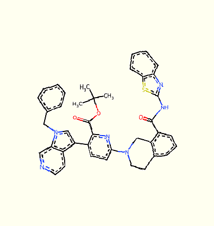 CC(C)(C)OC(=O)c1nc(N2CCc3cccc(C(=O)Nc4nc5ccccc5s4)c3C2)ccc1-c1cn(Cc2ccccc2)c2cnccc12